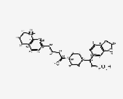 O=C(O)CC(c1ccc2c(c1)OCC2)C1CCN(C(=O)CCCc2ccc3c(n2)NCCC3)CC1